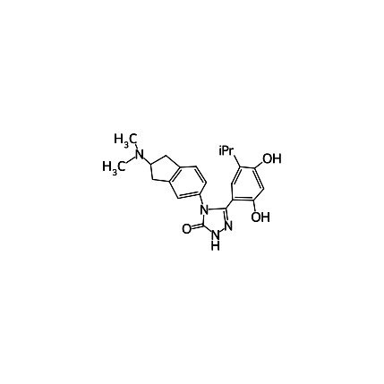 CC(C)c1cc(-c2n[nH]c(=O)n2-c2ccc3c(c2)CC(N(C)C)C3)c(O)cc1O